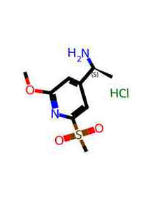 COc1cc([C@H](C)N)cc(S(C)(=O)=O)n1.Cl